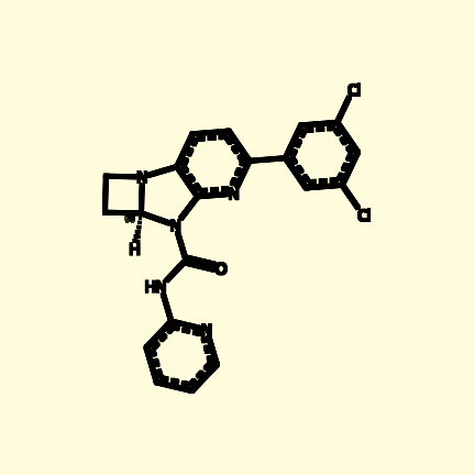 O=C(Nc1ccccn1)N1c2nc(-c3cc(Cl)cc(Cl)c3)ccc2N2CC[C@@H]21